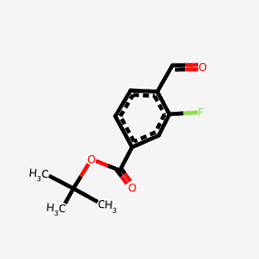 CC(C)(C)OC(=O)c1ccc(C=O)c(F)c1